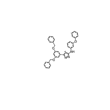 [c]1cccc(Oc2cccc(Nc3nnc(-c4cc(OCc5ccccc5)cc(OCc5ccccc5)c4)s3)c2)c1